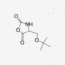 CC(C)(C)OCC1NC(=O)OC1=O